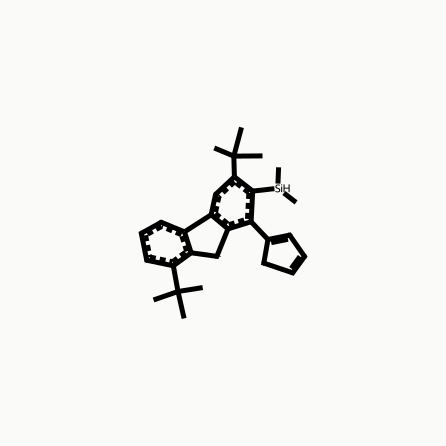 C[SiH](C)c1c(C(C)(C)C)cc2c(c1C1=CC=CC1)[CH]c1c-2cccc1C(C)(C)C